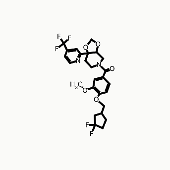 COc1cc(C(=O)N2CCC3(c4cc(C(F)(F)F)ccn4)OCOC3C2)ccc1OCC1CCC(F)(F)C1